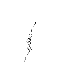 CCCCCCCCCc1ncc(-c2ccc(OC[C@H]3CC[C@H](CCCCCCCCC)CC3)c(C)c2)cn1